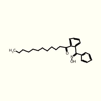 CCCCCCCCCCCC(=O)c1ccccc1C(=NO)c1ccccc1